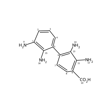 Nc1cccc(-c2ccc(C(=O)O)c(N)c2N)c1N